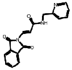 O=C(C=CN1C(=O)c2ccccc2C1=O)NCc1ccccn1